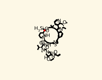 C=CC(=O)N1CCO[C@@H]2CN(C(=O)N(C)[C@H](C(=O)N[C@H]3Cc4nc(cs4)-c4ccc5c(c4)c(c(-c4cccnc4[C@H](C)OC)n5CC)CC(C)(C)COC[C@]4(C(=O)[SiH3])CCCN(N4)C3=O)C(C)C)C[C@@H]21